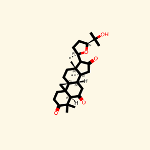 CC(C)(O)[C@@H]1CC[C@](C)(C2C(=O)C[C@@]3(C)[C@@H]4CC(=O)[C@H]5C(C)(C)C(=O)CCC56C[C@@]46CC[C@]23C)O1